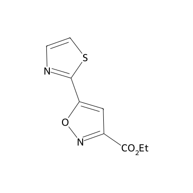 CCOC(=O)c1cc(-c2nccs2)on1